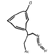 CC(=O)CC(N=[N+]=[N-])c1cccc(Cl)c1